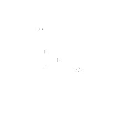 COc1ccccc1C1=NC(c2ccccc2CO)=NCO1